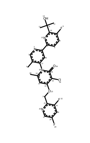 Cc1cnc(-c2ccc(F)c(C(C)(C)O)n2)cc1-n1c(C)cc(OCc2ncc(F)cc2F)c(Cl)c1=O